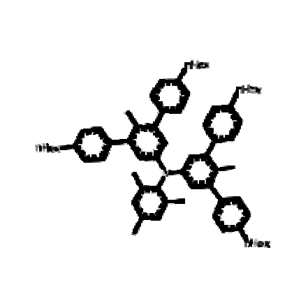 CCCCCCc1ccc(-c2cc(N(c3cc(-c4ccc(CCCCCC)cc4)c(C)c(-c4ccc(CCCCCC)cc4)c3)c3c(C)cc(C)cc3C)cc(-c3ccc(CCCCCC)cc3)c2C)cc1